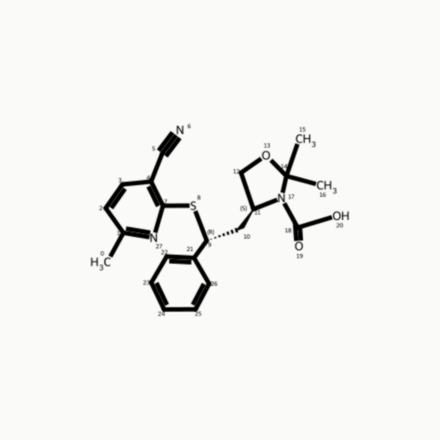 Cc1ccc(C#N)c(S[C@H](C[C@H]2COC(C)(C)N2C(=O)O)c2ccccc2)n1